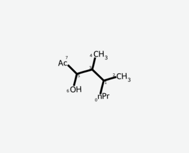 CCCC(C)C(C)C(O)C(C)=O